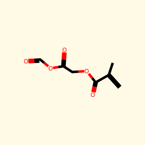 C=C(C)C(=O)OCC(=O)OC=O